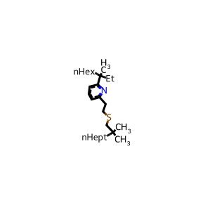 CCCCCCCC(C)(C)CSCCc1cccc(C(C)(CC)CCCCCC)n1